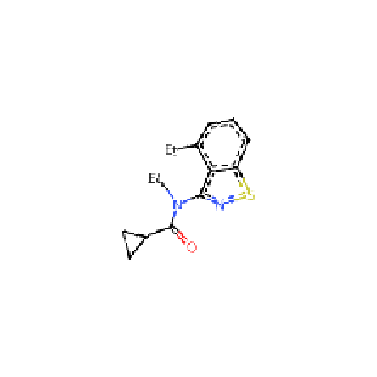 CCc1cccc2snc(N(CC)C(=O)C3CC3)c12